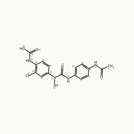 CC(=O)Nc1ccc(NC(=O)N(S)c2ccc(NC(=O)O)c(Cl)c2)cc1